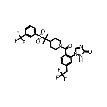 CC(C)(C1CCN(C(=O)c2ccc(CC(F)(F)F)cc2-n2cnc(=O)[nH]2)CC1)S(=O)(=O)c1cccc(C(F)(F)F)c1